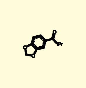 CC(C)C(=O)c1ccc2c(c1)OCO2